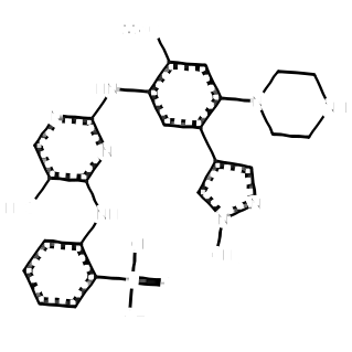 COc1cc(N2CCNCC2)c(-c2cnn(C)c2)cc1Nc1ncc(C)c(Nc2ccccc2P(C)(C)=O)n1